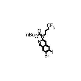 CCCCOC(=O)N(CCCC(F)(F)F)c1cc2cc(I)c(Br)cc2cn1